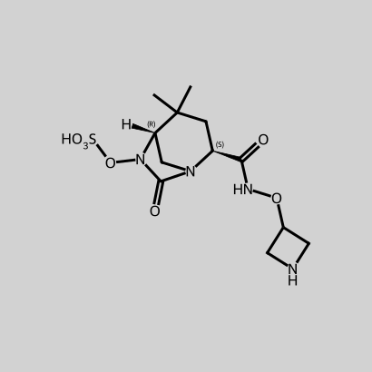 CC1(C)C[C@@H](C(=O)NOC2CNC2)N2C[C@@H]1N(OS(=O)(=O)O)C2=O